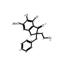 COc1cc2c(c(Cl)c1Cl)C(=O)C(CCC(C)=O)(Cc1ccccc1)C2